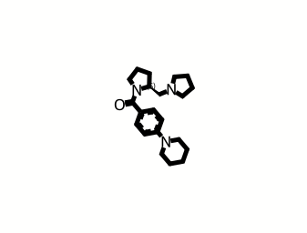 O=C(c1ccc(N2CCCCC2)cc1)N1CCC[C@H]1CN1CCCC1